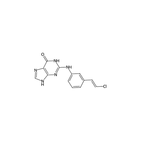 O=c1[nH]c(Nc2cccc(C=CCl)c2)nc2[nH]cnc12